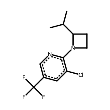 CC(C)C1CCN1c1ncc(C(F)(F)F)cc1Cl